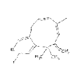 C=C1/C=C(I)\C=C/CC(=C/CC)/C(=C\CI)C1(C)C